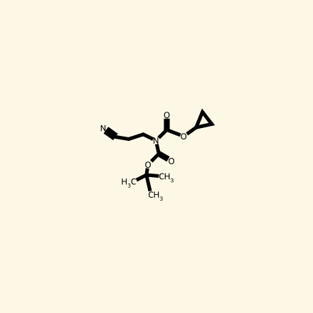 CC(C)(C)OC(=O)N(CCC#N)C(=O)OC1CC1